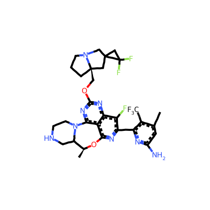 Cc1cc(N)nc(-c2nc3c4c(nc(OC[C@@]56CCCN5CC5(CC5(F)F)C6)nc4c2F)N2CCNCC2[C@H](C)O3)c1C(F)(F)F